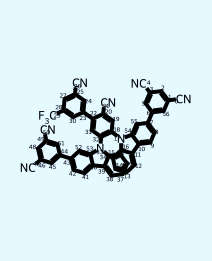 N#Cc1cc(C#N)cc(-c2ccc3c4ccccc4n(-c4cc(C#N)c(-c5cc(C#N)cc(C(F)(F)F)c5)cc4-n4c5ccccc5c5ccc(-c6cc(C#N)cc(C#N)c6)cc54)c3c2)c1